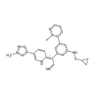 Cn1cc(C2=CN/C(=C(\C=N)c3cc(NSC4CC4)cc(-c4cccnc4F)c3)C=C2)cn1